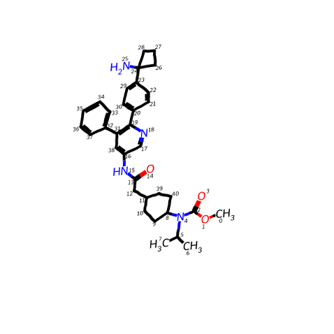 COC(=O)N(C(C)C)C1CCC(CC(=O)Nc2cnc(-c3ccc(C4(N)CCC4)cc3)c(-c3ccccc3)c2)CC1